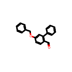 O=Cc1ccc(OCc2ccccc2)cc1-c1ccccc1